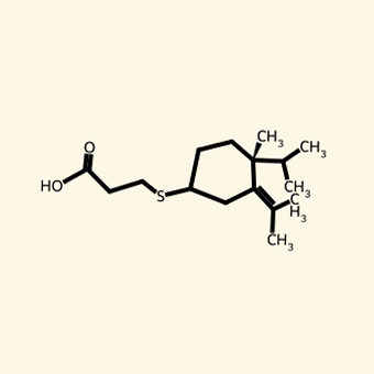 CC(C)=C1CC(SCCC(=O)O)CC[C@]1(C)C(C)C